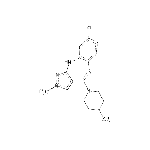 CN1CCN(C2=Nc3ccc(Cl)cc3Nc3nn(C)cc32)CC1